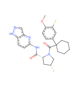 COc1ccc(C2(C(=O)N3C[C@H](F)C[C@@H]3C(=O)Nc3ccc4[nH]ncc4n3)CCCCC2)cc1F